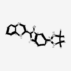 CCn1c(C2COc3ccccc3O2)nc2ccc(B3OC(C)(C)C(C)(C)O3)cc21